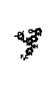 C[C@@H]1CN(Cc2nc(Nc3ccc(C(F)(F)F)nc3)c3ccc(-c4ncccc4Cl)cc3n2)C[C@@H](C)O1